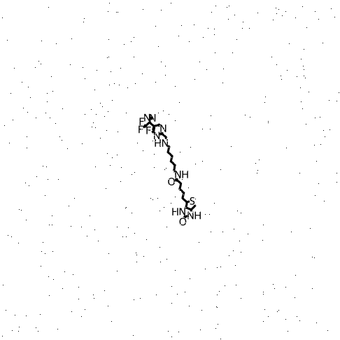 O=C(CCCCC1SCC2NC(=O)NC21)NCCCCCCNCc1ncc(C2(C(F)(F)F)N=N2)cn1